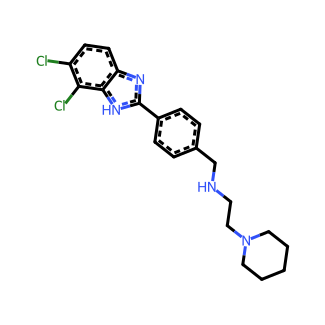 Clc1ccc2nc(-c3ccc(CNCCN4CCCCC4)cc3)[nH]c2c1Cl